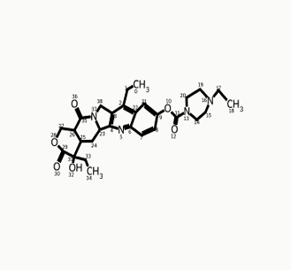 CCc1c2c(nc3ccc(OC(=O)N4CCN(CC)CC4)cc13)C1CC3C(COC(=O)C3(O)CC)C(=O)N1C2